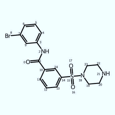 O=C(Nc1cccc(Br)c1)c1cccc(S(=O)(=O)N2CCNCC2)c1